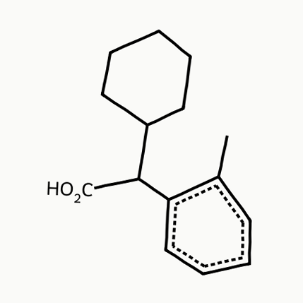 Cc1ccccc1C(C(=O)O)C1CCCCC1